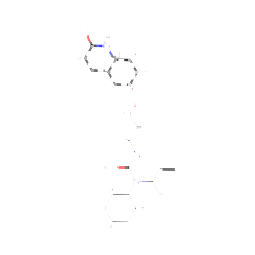 C=CC(C)N(C(=O)NCCCOc1ccc2[nH]c(=O)ccc2c1)C1CCCCC1